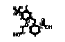 Cc1cc(CN2CCCC[C@H]2C(=O)O)c(OCCO)cc1C(C)(C)C